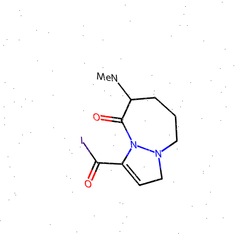 CNC1CCCN2CC=C(C(=O)I)N2C1=O